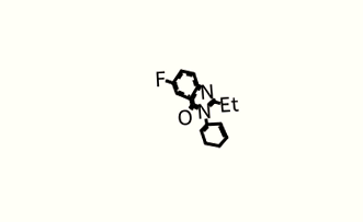 CCc1nc2ccc(F)cc2c(=O)n1C1=CCCC=C1